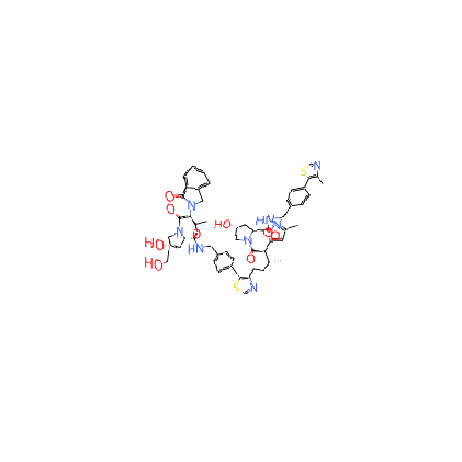 Cc1cc([C@H](C(=O)N2C[C@H](O)C[C@H]2C(=O)NCc2ccc(-c3scnc3C)cc2)[C@H](C)CCc2ncsc2-c2ccc(CNC(=O)[C@@H]3C[C@@](O)(CO)CN3C(=O)[C@H](C(C)C)N3Cc4ccccc4C3=O)cc2)on1